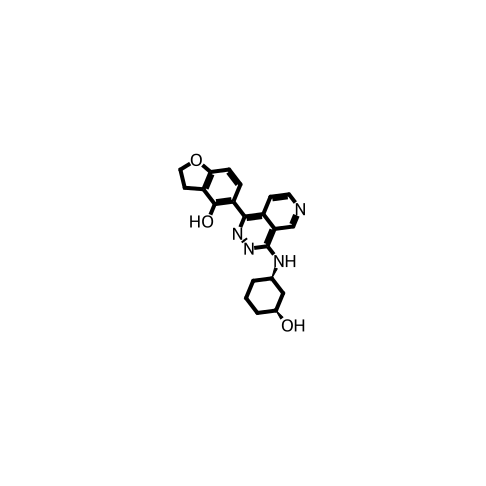 Oc1c(-c2nnc(N[C@@H]3CCC[C@H](O)C3)c3cnccc23)ccc2c1CCO2